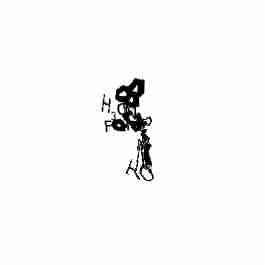 C[C@@]1(N2CCC3(CC2)C(=O)N(CCCn2cc(CO)nn2)CN3c2ccc(F)cc2)Cc2cccc3cccc1c23